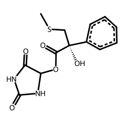 CSC[C@](O)(C(=O)OC1NC(=O)NC1=O)c1ccccc1